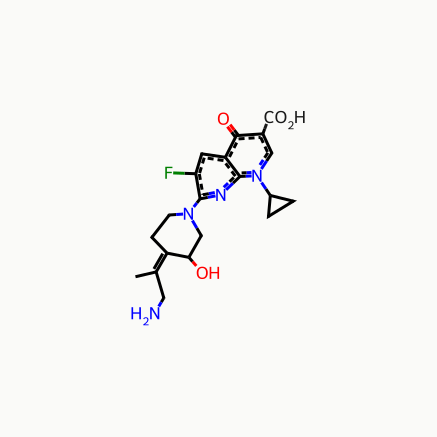 C/C(CN)=C1\CCN(c2nc3c(cc2F)c(=O)c(C(=O)O)cn3C2CC2)CC1O